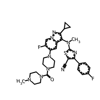 CN1CCN(C(=O)N2CCN(c3cc4c(N(C)c5nc(-c6ccc(F)cc6)c(C#N)s5)c(C5CC5)nn4cc3F)CC2)CC1